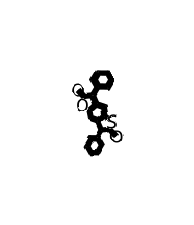 O=C1Oc2cc3c(cc2=C1c1ccccc1)SC(=O)C=3c1ccccc1